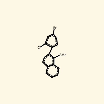 CSc1c(-c2ccc(Br)cc2Cl)ccc2ccccc12